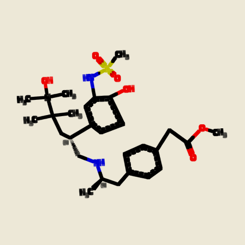 COC(=O)Cc1ccc(C[C@@H](C)NC[C@H](CC(C)(C)[Si](C)(C)O)c2ccc(O)c(NS(C)(=O)=O)c2)cc1